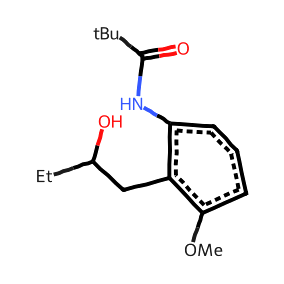 CCC(O)Cc1c(NC(=O)C(C)(C)C)cccc1OC